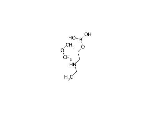 CCNCCOB(O)O.COC